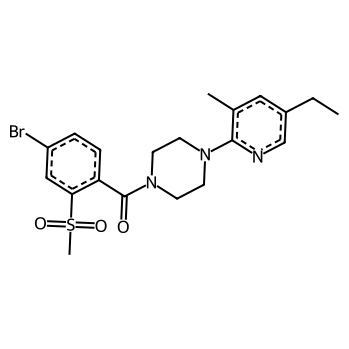 CCc1cnc(N2CCN(C(=O)c3ccc(Br)cc3S(C)(=O)=O)CC2)c(C)c1